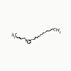 CCCCCCCCCCCCCCc1ccc[n+](CCCCCC)c1